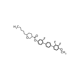 CCCCCC1CCC(C(=O)Oc2ccc(-c3ccc(-c4ccc(OC)c(F)c4F)cc3)c(F)c2)CO1